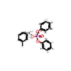 Cc1ccccc1.O=COP(=O)(Oc1ccccc1)Oc1ccccc1